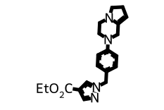 CCOC(=O)c1cnn(Cc2ccc(N3CCN4CCC=C4C3)cc2)c1